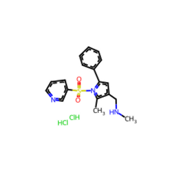 CNCc1cc(-c2ccccc2)n(S(=O)(=O)c2cccnc2)c1C.Cl.Cl